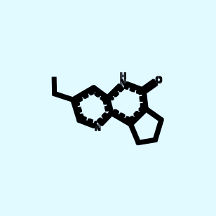 CCc1cnc2c3c(c(=O)[nH]c2c1)CCC3